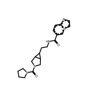 O=C(NCCC1C2CN(C(=O)N3CCCC3)CC12)c1ccc2nccn2c1